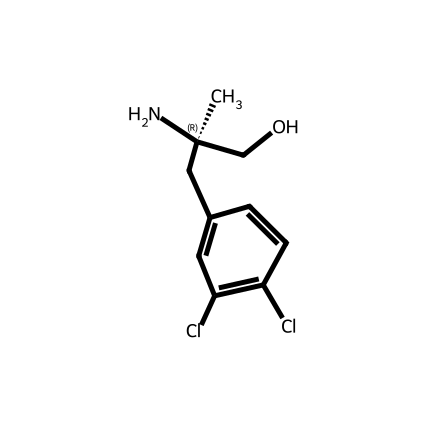 C[C@](N)(CO)Cc1ccc(Cl)c(Cl)c1